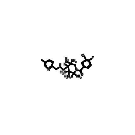 BC1(B)CN(C(=O)c2ccc(F)c(Cl)c2)C(B)(B)C(B)(B)C1(F)CNCc1ccc(C)cn1